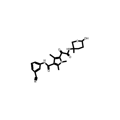 Cc1c(C(=O)Nc2cccc(C#N)c2)c(C)n(C)c1C(=O)C(=O)NC1(C)CCC(O)CC1